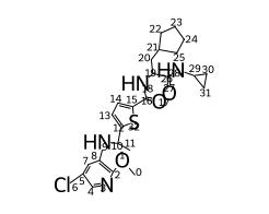 COc1ncc(Cl)cc1NC(C)c1ccc(C(=O)NC(CC2CCCC2)C(=O)NC2CC2)s1